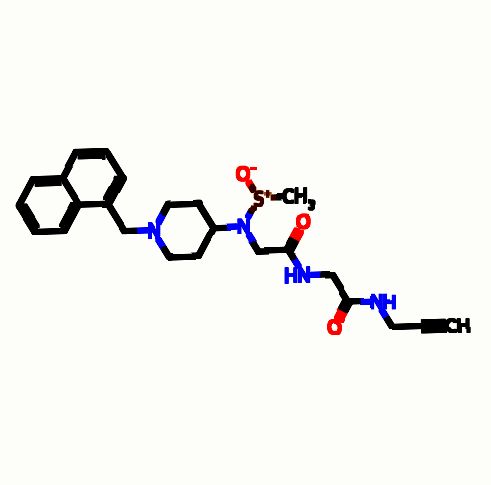 C#CCNC(=O)CNC(=O)CN(C1CCN(Cc2cccc3ccccc23)CC1)[S+](C)[O-]